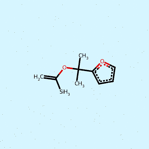 C=C([SiH3])OC(C)(C)c1ccco1